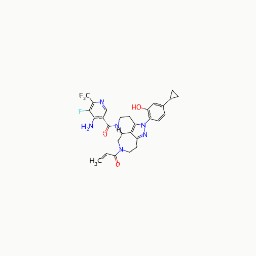 C=CC(=O)N1CCc2nn(-c3ccc(C4CC4)cc3O)c3c2[C@H](C1)N(C(=O)c1cnc(C(F)(F)F)c(F)c1N)CC3